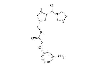 Cc1cccc(OCC(=O)NC[C@@H]2CN[C@H](C(=O)N3CCSC3)C2)c1